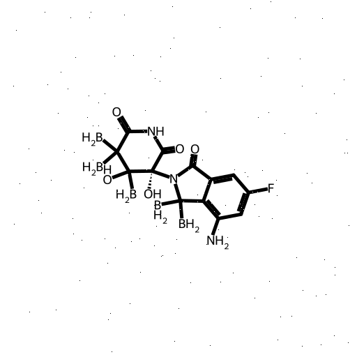 BC1(B)c2c(N)cc(F)cc2C(=O)N1[C@]1(O)C(=O)NC(=O)C(B)(B)C1(B)O